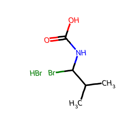 Br.CC(C)C(Br)NC(=O)O